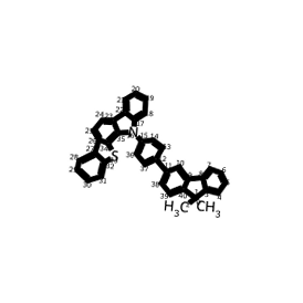 CC1(C)c2ccccc2-c2cc(-c3ccc(-n4c5ccccc5c5ccc6c7ccccc7sc6c54)cc3)ccc21